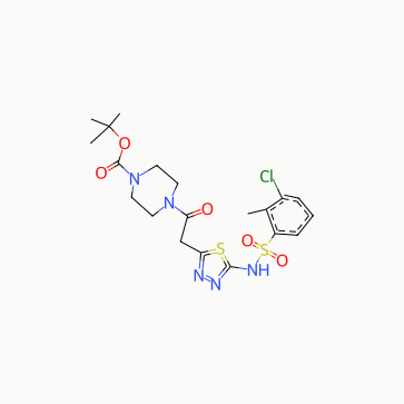 Cc1c(Cl)cccc1S(=O)(=O)Nc1nnc(CC(=O)N2CCN(C(=O)OC(C)(C)C)CC2)s1